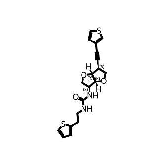 O=C(NCCc1cccs1)N[C@H]1CO[C@H]2[C@@H]1OC[C@@H]2C#Cc1ccsc1